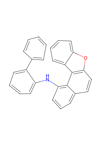 c1ccc(-c2ccccc2Nc2cccc3ccc4oc5ccccc5c4c23)cc1